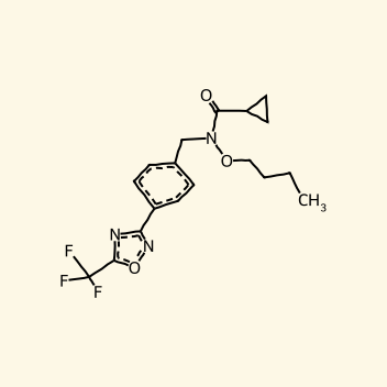 CCCCON(Cc1ccc(-c2noc(C(F)(F)F)n2)cc1)C(=O)C1CC1